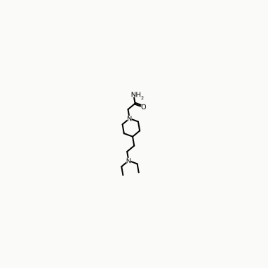 CCN(CC)CCC1CCN(CC(N)=O)CC1